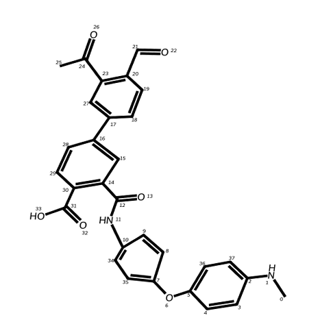 CNc1ccc(Oc2ccc(NC(=O)c3cc(-c4ccc(C=O)c(C(C)=O)c4)ccc3C(=O)O)cc2)cc1